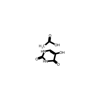 CC(=O)O.O=c1[nH]cc(O)c(=O)[nH]1